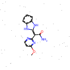 COc1ccnc(C(C(N)=O)=C2Nc3ccccc3N2)n1